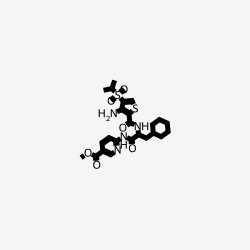 COC(=O)c1ccc(NC(=O)C(CC2CCCCC2)NC(=O)c2scc(S(=O)(=O)C(C)C)c2N)nc1